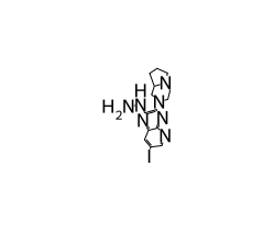 NNc1nc2cc(I)cnc2nc1N1CCN2CCCC2C1